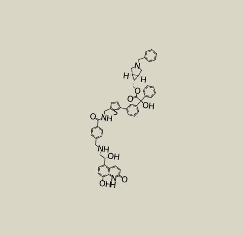 O=C(NCc1ccc(-c2cccc([C@](O)(C(=O)OC[C@@H]3[C@H]4CN(Cc5ccccc5)C[C@@H]34)c3ccccc3)c2)s1)c1ccc(CNC[C@H](O)c2ccc(O)c3[nH]c(=O)ccc23)cc1